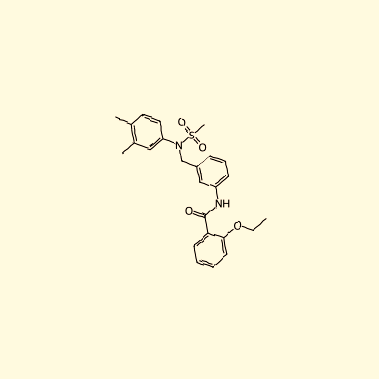 CCOc1ccccc1C(=O)Nc1cccc(CN(c2ccc(C)c(C)c2)S(C)(=O)=O)c1